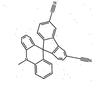 CN1c2ccccc2C2(c3ccc(C#N)cc3-c3cc(C#N)ccc32)c2ccccc21